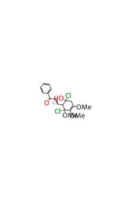 COC1=C(OC)C(Cl)(OC)C(/C=C/C(=O)c2ccccc2)C(O)(Cl)C1